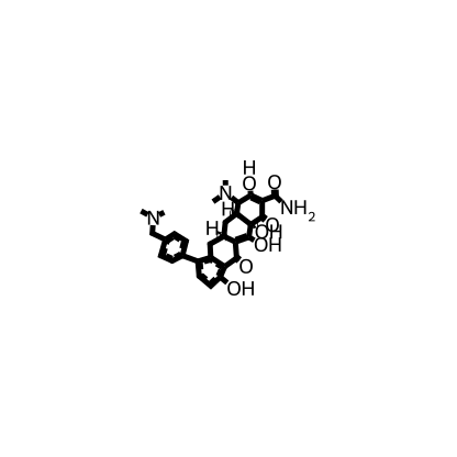 CN(C)Cc1ccc(-c2ccc(O)c3c2C[C@H]2C[C@H]4C(N(C)C)C(O)=C(C(N)=O)C(=O)[C@@]4(O)C(O)=C2C3=O)cc1